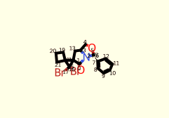 O=C1N2C(CO[C@@H]2c2ccccc2)CC12C(Br)(Br)C21CCC1